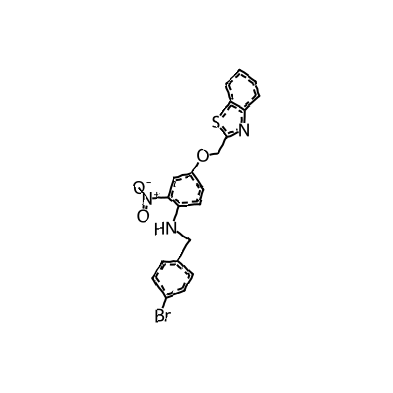 O=[N+]([O-])c1cc(OCc2nc3ccccc3s2)ccc1NCc1ccc(Br)cc1